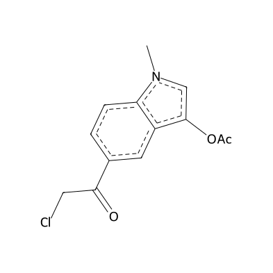 CC(=O)Oc1cn(C)c2ccc(C(=O)CCl)cc12